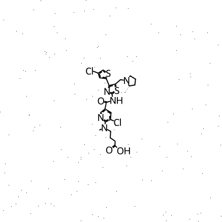 C[C@H]1CCCN1Cc1sc(NC(=O)c2cnc(N(C)CCCC(=O)O)c(Cl)c2)nc1-c1cc(Cl)cs1